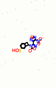 O=c1onc(-c2nonc2[N+](=O)[O-])n1C1Cc2ccc(SO)cc21